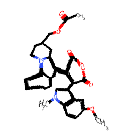 COc1ccc2c(c1)c(C1=C(c3c4n(c5ccccc35)CCC(COC(C)=O)C4)C(=O)OC1=O)cn2C